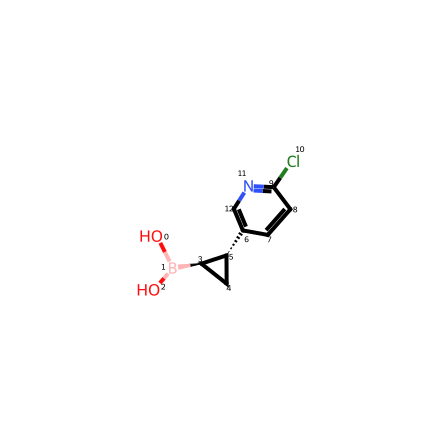 OB(O)[C@@H]1C[C@H]1c1ccc(Cl)nc1